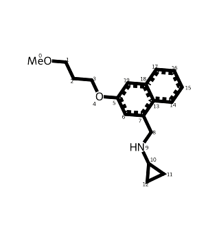 COCCCOc1cc(CNC2CC2)c2ccccc2c1